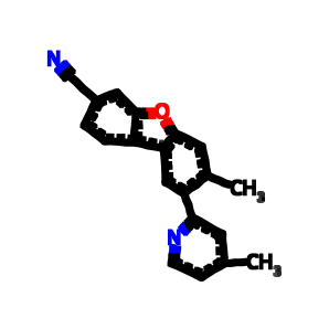 Cc1ccnc(-c2cc3c(cc2C)oc2cc(C#N)ccc23)c1